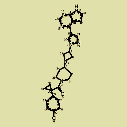 O=C(N1CCC(N2CC(n3cc(-c4ncnc5[nH]ccc45)cn3)C2)CC1)C1(c2ccc(Cl)cc2)CC1